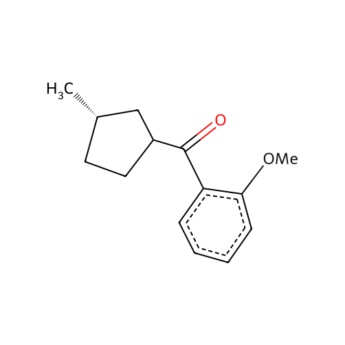 COc1ccccc1C(=O)C1CC[C@H](C)C1